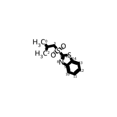 CC(C)CS(=O)(=O)c1nc2ccccc2s1